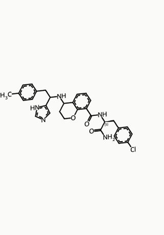 Cc1ccc(CC(NC2CCOc3c(C(=O)N[C@@H](Cc4ccc(Cl)cc4)C(N)=O)cccc32)c2cnc[nH]2)cc1